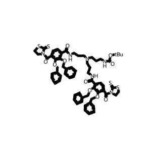 CC(C)(C)OC(=O)NCCCN(CCCNC(=O)c1ccc(C(=O)N2CCSC2=S)c(OCc2ccccc2)c1OCc1ccccc1)CCCNC(=O)c1ccc(C(=O)N2CCSC2=S)c(OCc2ccccc2)c1OCc1ccccc1